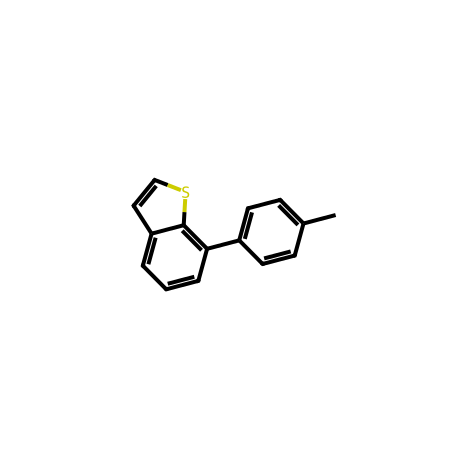 Cc1ccc(-c2cccc3ccsc23)cc1